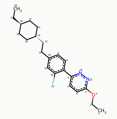 CCOc1ccc(-c2ccc(CC[C@H]3CC[C@H](CC)CC3)cc2F)nn1